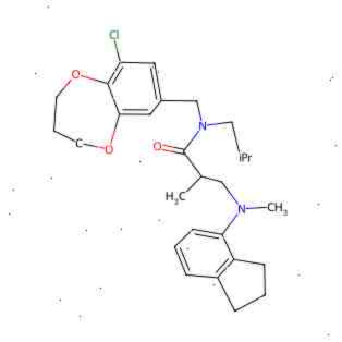 CC(C)CN(Cc1cc(Cl)c2c(c1)OCCCO2)C(=O)C(C)CN(C)c1cccc2c1CCC2